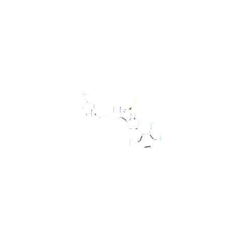 Fc1ccc(F)c(C2Cc3c(CCCN4CCC(F)C4)[nH]c(=S)n3C2)c1F